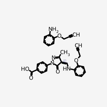 C#CCOc1ccccc1N.C#CCOc1ccccc1N/C=C1\C(=O)N(c2ccc(C(=O)O)cc2)N=C1C